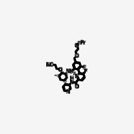 CCCOCCOCc1cc(F)c(-c2nc(C(=O)Nc3cnccc3[C@H]3C[C@@H](N)[C@@H](OCCC#N)[C@@H](C)C3)ccc2F)c(F)c1